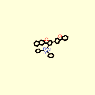 c1ccc(-c2nc(-c3ccccc3)nc(-c3cc(-c4ccc5c(c4)oc4ccccc45)cc4oc5cc6ccccc6cc5c34)n2)cc1